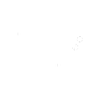 CCCCCCCCCCCCCCCCCCC1N(CCCCCCC)C=CN1c1ccccc1